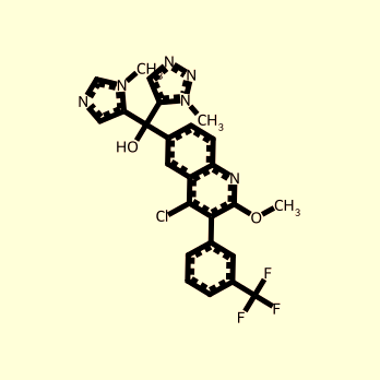 COc1nc2ccc(C(O)(c3cncn3C)c3cnnn3C)cc2c(Cl)c1-c1cccc(C(F)(F)F)c1